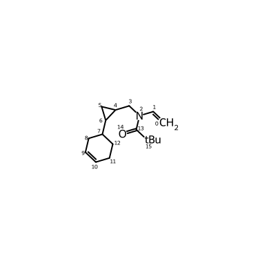 C=CN(CC1CC1C1CC=CCC1)C(=O)C(C)(C)C